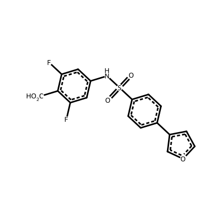 O=C(O)c1c(F)cc(NS(=O)(=O)c2ccc(-c3ccoc3)cc2)cc1F